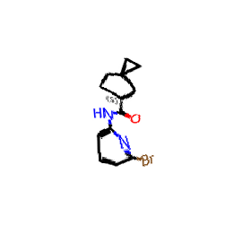 O=C(Nc1cccc(Br)n1)[C@H]1CCC2(CC2)C1